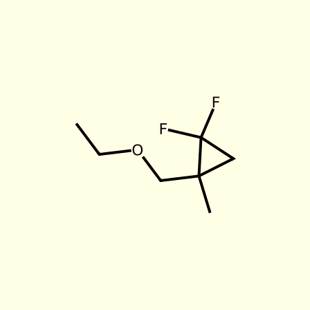 CCOCC1(C)CC1(F)F